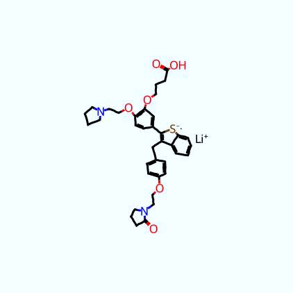 O=C(O)CCCOc1cc(C2=C(Cc3ccc(OCCN4CCCC4=O)cc3)c3ccccc3[S-]2)ccc1OCCN1CCCC1.[Li+]